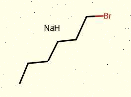 CCCCCCBr.[NaH]